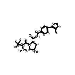 Cc1ncsc1-c1ccc(C(C)NC(=O)[C@@H]2C[C@@H](O)CN2C(=O)[C@@H](N(C)C)C(C)(C)C)cc1